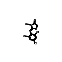 CCC(C)N1C(=O)CSC1=Nc1c(Cl)cc(Cl)cc1Cl